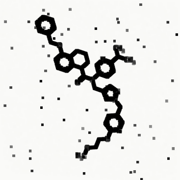 COCCOc1ccc(Cn2cc(CN(C(=O)C3CCCc4c(OCc5ccccc5)cccc43)c3ccc(C(C)C)nc3)cn2)cn1